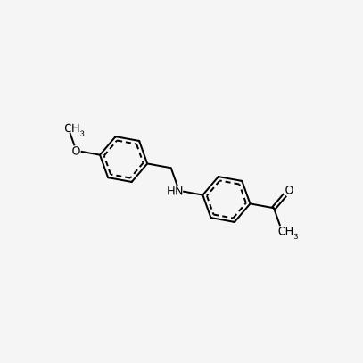 COc1ccc(CNc2ccc(C(C)=O)cc2)cc1